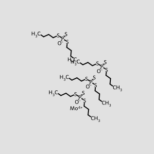 CCCCSP([O-])(=S)SCCCC.CCCCSP([O-])(=S)SCCCC.CCCCSP([O-])(=S)SCCCC.CCCCSP([O-])(=S)SCCCC.[Mo+4]